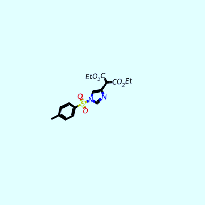 CCOC(=O)C(C(=O)OCC)c1cn(S(=O)(=O)c2ccc(C)cc2)cn1